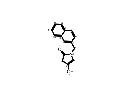 O=C1CC(O)=CN1Cc1ccc2ccccc2c1